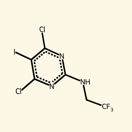 FC(F)(F)CNc1nc(Cl)c(I)c(Cl)n1